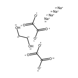 O=C([O-])C(=O)[O-].O=C([O-])C(=O)[O-].OCCO.[Na+].[Na+].[Na+].[Na+]